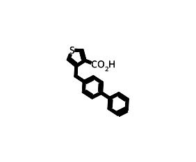 O=C(O)c1cscc1Cc1ccc(-c2cc#ccc2)cc1